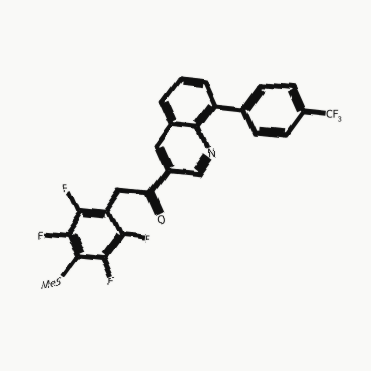 CSc1c(F)c(F)c(CC(=O)c2cnc3c(-c4ccc(C(F)(F)F)cc4)cccc3c2)c(F)c1F